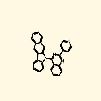 c1ccc2cc3c(cc2c1)c1ccccc1n3-c1nc(-c2ccncc2)nc2ccccc12